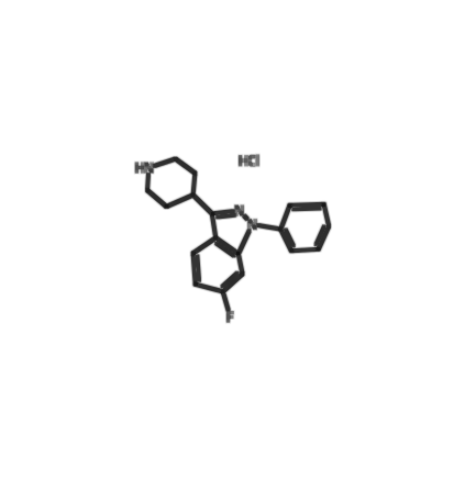 Cl.Fc1ccc2c(C3CCNCC3)nn(-c3ccccc3)c2c1